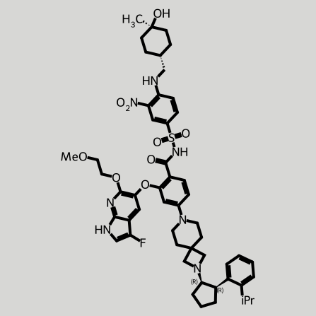 COCCOc1nc2[nH]cc(F)c2cc1Oc1cc(N2CCC3(CC2)CN([C@@H]2CCC[C@@H]2c2ccccc2C(C)C)C3)ccc1C(=O)NS(=O)(=O)c1ccc(NC[C@H]2CC[C@](C)(O)CC2)c([N+](=O)[O-])c1